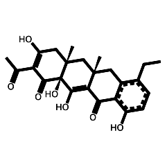 CCc1ccc(O)c2c1C[C@@]1(C)C[C@@]3(C)CC(O)=C(C(C)=O)C(=O)[C@@]3(O)C(O)=C1C2=O